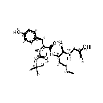 CSCC[C@@H](NC(=O)[C@H](Cc1ccc(O)cc1)NC(=O)OC(C)(C)C)C(=O)NCC(=O)O